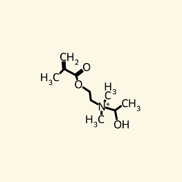 C=C(C)C(=O)OCC[N+](C)(C)C(C)O